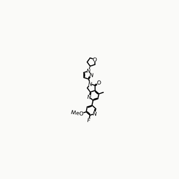 COc1cc(-c2cc(C)c3c(n2)CN(c2ccn([C@H]4CCOC4)n2)C3=O)cnc1F